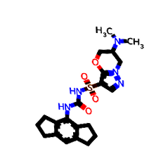 CN(C)C1COc2c(S(=O)(=O)NC(=O)Nc3c4c(cc5c3CCC5)CCC4)cnn2C1